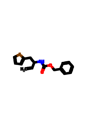 C=CC(Cc1cccs1)NC(=O)OCc1ccccc1